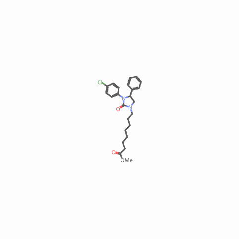 COC(=O)CCCCCCCN1CC(c2ccccc2)N(c2ccc(Cl)cc2)C1=O